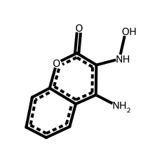 Nc1c(NO)c(=O)oc2ccccc12